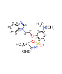 CN(C)c1ccc(S(=O)(=O)NC(C=O)CC(=O)O)c(OCCn2cnc3ccccc32)c1